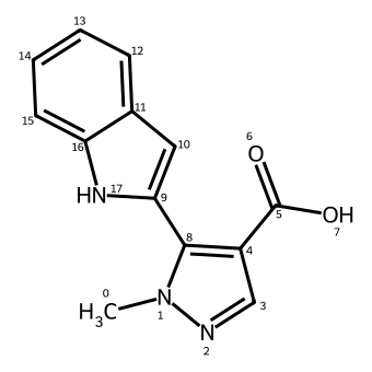 Cn1ncc(C(=O)O)c1-c1cc2ccccc2[nH]1